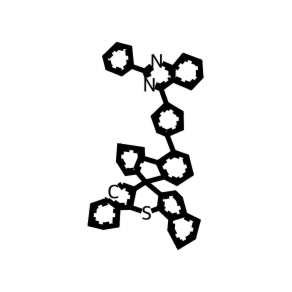 c1ccc(-c2nc(-c3ccc(-c4cccc5c4-c4ccccc4C54c5ccc6ccccc6c5Sc5c4ccc4ccccc54)cc3)c3ccccc3n2)cc1